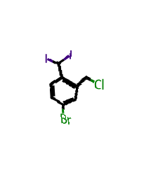 ClCc1cc(Br)ccc1C(I)I